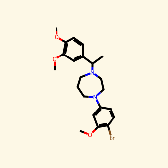 COc1cc(N2CCCN(C(C)c3ccc(OC)c(OC)c3)CC2)ccc1Br